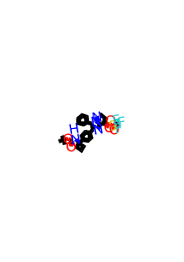 CC(C)(C)OC(=O)NC1(c2ccc(C3N=C4C(OS(=O)(=O)C(F)(F)F)=CC=NN4C3c3ccccc3)cc2)CCC1